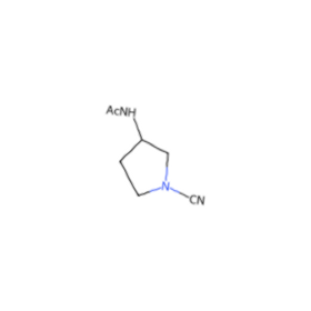 CC(=O)NC1CCN(C#N)C1